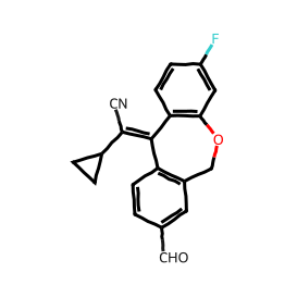 N#CC(=C1c2ccc(C=O)cc2COc2cc(F)ccc21)C1CC1